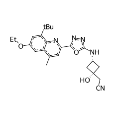 CCOc1cc(C(C)(C)C)c2nc(-c3nnc(N[C@H]4C[C@](O)(CC#N)C4)o3)cc(C)c2c1